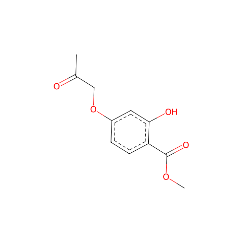 COC(=O)c1ccc(OCC(C)=O)cc1O